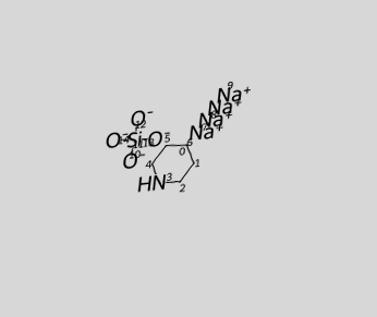 C1CCNCC1.[Na+].[Na+].[Na+].[Na+].[O-][Si]([O-])([O-])[O-]